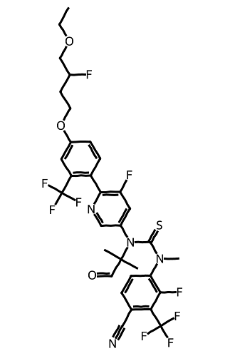 CCOCC(F)CCOc1ccc(-c2ncc(N(C(=S)N(C)c3ccc(C#N)c(C(F)(F)F)c3F)C(C)(C)C=O)cc2F)c(C(F)(F)F)c1